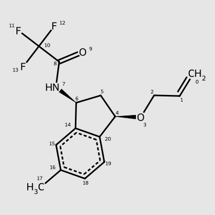 C=CCO[C@@H]1C[C@H](NC(=O)C(F)(F)F)c2cc(C)ccc21